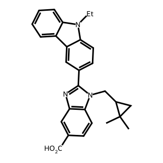 CCn1c2ccccc2c2cc(-c3nc4cc(C(=O)O)ccc4n3CC3CC3(C)C)ccc21